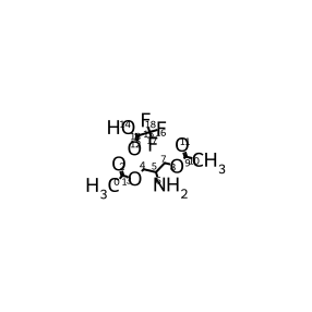 CC(=O)OCC(N)COC(C)=O.O=C(O)C(F)(F)F